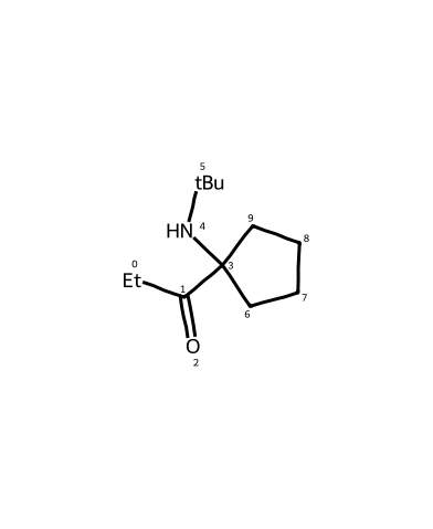 CCC(=O)C1(NC(C)(C)C)CCCC1